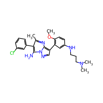 COc1ccc(NCCCN(C)C)cc1-c1cnn2c(N)c(-c3cccc(Cl)c3)c(C)nc12